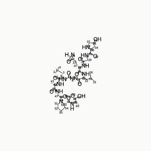 CC(C)C[C@H](NC(=O)CNC(=O)[C@H](CC(C)C)NC(=O)[C@H](CCC(N)=O)NC(=O)CNC(=O)[C@@H]1C[C@@H](O)CN1)C(=O)N[C@@H](C)C(=O)NCC(=O)N1CCCC[C@H]1C(=O)N[C@@H](C)C(=O)O